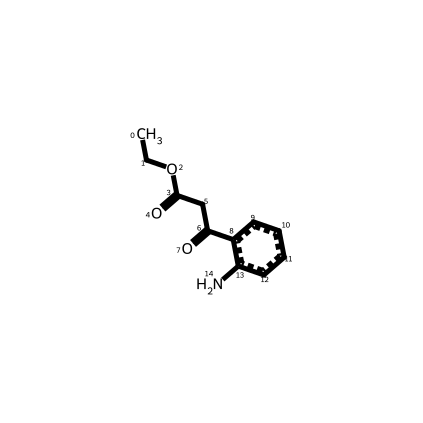 CCOC(=O)CC(=O)c1ccccc1N